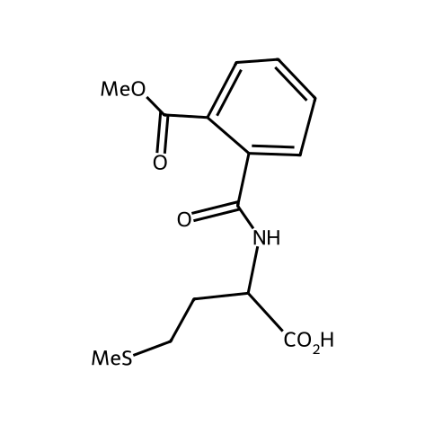 COC(=O)c1ccccc1C(=O)NC(CCSC)C(=O)O